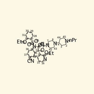 CCCN1CCC(N2CCN(C(=O)OC3(c4cccnc4OCC)C(=O)N(S(=O)(=O)c4ccccc4OCC)c4ccc(C#N)cc43)CC2)CC1